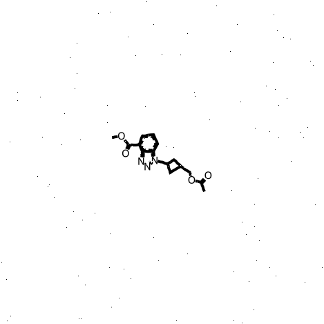 COC(=O)c1cccc2c1nnn2C1CC(COC(C)=O)C1